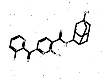 Cc1cc(C(=O)c2ncccc2F)ccc1C(=O)NC1C2CC3CC1CC(O)(C3)C2